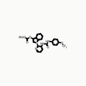 COC(=O)Oc1cn(-c2ncccc2NC(=O)Nc2ccc(OC(F)(F)F)cc2)c2ccccc12